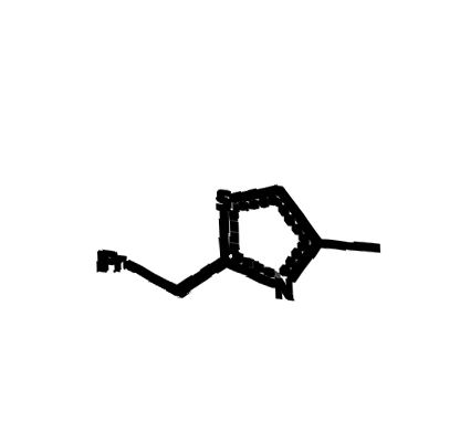 Cc1csc(CC(C)C)n1